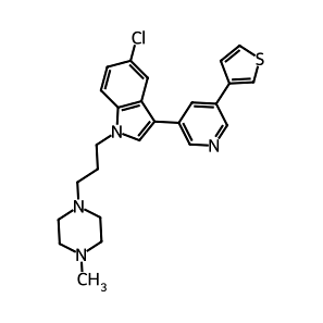 CN1CCN(CCCn2cc(-c3cncc(-c4ccsc4)c3)c3cc(Cl)ccc32)CC1